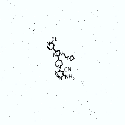 CCc1cc(-c2cn(CCN3CCC3)c(C3CCN(c4ncnc(N)c4C#N)CC3)n2)ccn1